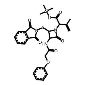 C=C(C)C(C(=O)O[Si](C)(C)C)N1C(=O)C(NC(=O)COc2ccccc2)C1SN1C(=O)c2ccccc2C1=O